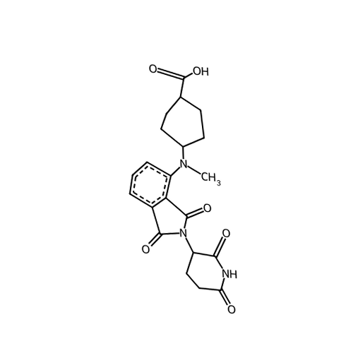 CN(c1cccc2c1C(=O)N(C1CCC(=O)NC1=O)C2=O)C1CCC(C(=O)O)CC1